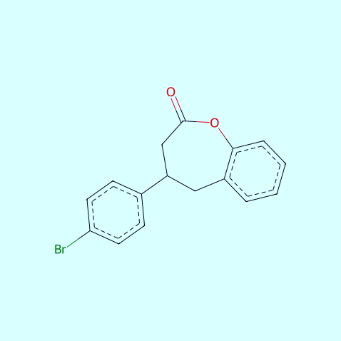 O=C1CC(c2ccc(Br)cc2)Cc2ccccc2O1